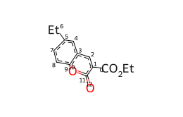 CCOC(=O)c1cc2cc(CC)ccc2oc1=O